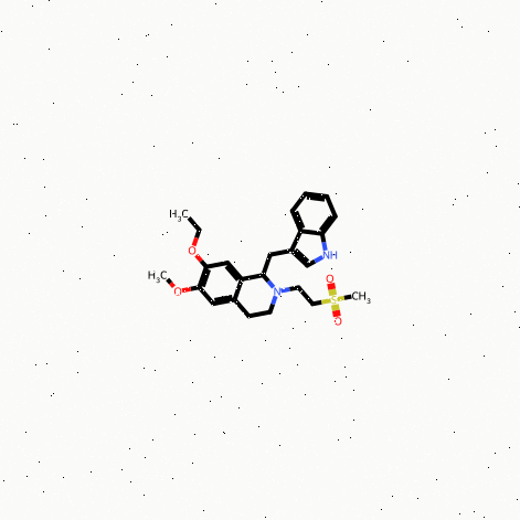 CCOc1cc2c(cc1OC)CCN(CCS(C)(=O)=O)C2Cc1c[nH]c2ccccc12